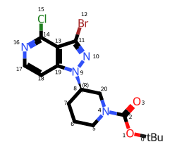 CC(C)(C)OC(=O)N1CCC[C@@H](n2nc(Br)c3c(Cl)nccc32)C1